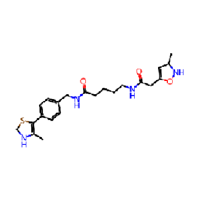 CC1=C(c2ccc(CNC(=O)CCCCNC(=O)CC3=CC(C)NO3)cc2)SCN1